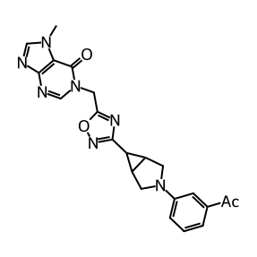 CC(=O)c1cccc(N2CC3C(C2)C3c2noc(Cn3cnc4ncn(C)c4c3=O)n2)c1